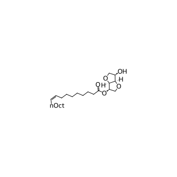 CCCCCCCC/C=C\CCCCCCCC(=O)O[C@@H]1CO[C@H]2[C@@H]1OC[C@H]2O